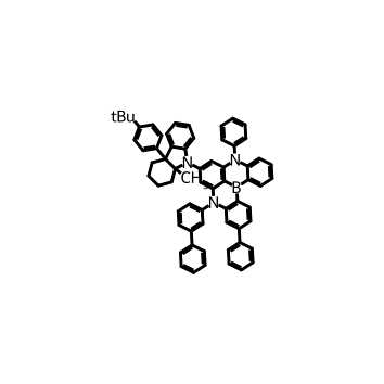 CC(C)(C)c1ccc(C23CCCCC2(C)N(c2cc4c5c(c2)N(c2cccc(-c6ccccc6)c2)c2cc(-c6ccccc6)ccc2B5c2ccccc2N4c2ccccc2)c2ccccc23)cc1